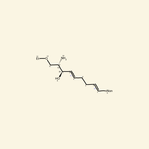 CCCCCCCCC/C=C/CC/C=C/[C@@H](O)[C@@H](N)COCC